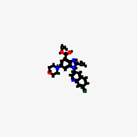 COC(=O)c1cc(N2CCOCC2)cc2c1nc(C)n2-c1cnc2cc(Cl)ccc2c1